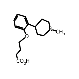 CN1CCC(c2ccccc2OCCCC(=O)O)CC1